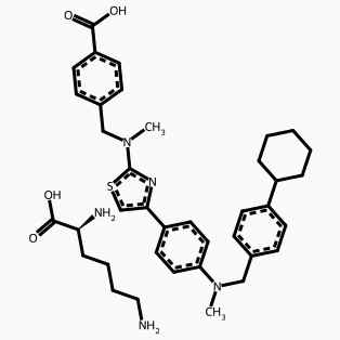 CN(Cc1ccc(C2CCCCC2)cc1)c1ccc(-c2csc(N(C)Cc3ccc(C(=O)O)cc3)n2)cc1.NCCCC[C@H](N)C(=O)O